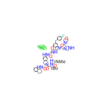 CN[C@@H](C)C(=O)N[C@H](C(=O)N1Cc2cc(NC(=O)CNC(=O)[C@]3(C)CN(C(=O)CN4C[C@@H](C)NC[C@@H]4CN4CCOC[C@H]4C)c4cc(Cc5ccc(F)cc5)ccc43)ccc2C[C@H]1C(=O)N[C@@H]1CCCc2ccccc21)C(C)(C)C.Cl.Cl.Cl